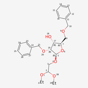 CCOC(CO[C@@H]1O[C@H](COCc2ccccc2)[C@@H](O)[C@H]1OCc1ccccc1)OCC